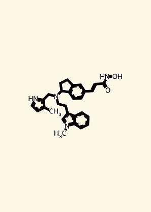 Cc1cc[nH]c1CN(CCc1cn(C)c2ccccc12)C1CCc2cc(C=CC(=O)NO)ccc21